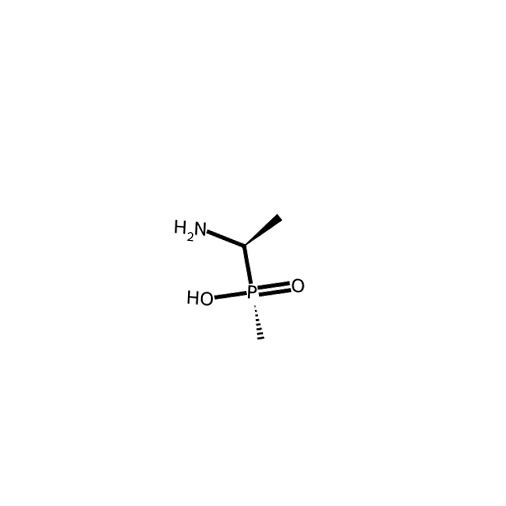 C[C@H](N)[P@@](C)(=O)O